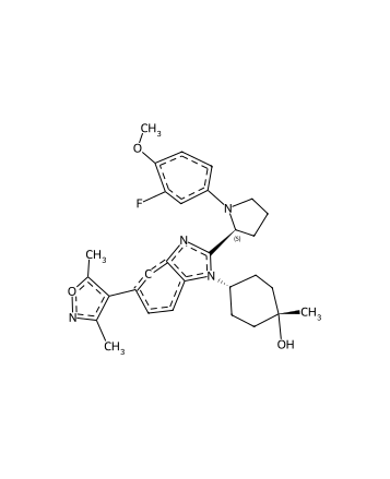 COc1ccc(N2CCC[C@H]2c2nc3cc(-c4c(C)noc4C)ccc3n2[C@H]2CC[C@@](C)(O)CC2)cc1F